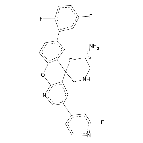 N[C@@H]1CNCC2(O1)c1cc(-c3cc(F)ccc3F)ccc1Oc1ncc(-c3ccnc(F)c3)cc12